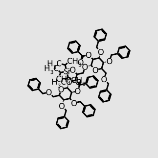 CC(C)[Si](OC(CO[C@H]1OC(COCc2ccccc2)[C@@H](OCc2ccccc2)[C@@H](OCc2ccccc2)C1OC(=O)c1ccccc1)CO[C@H]1OC(COCc2ccccc2)[C@@H](OCc2ccccc2)C(OCc2ccccc2)[C@@H]1OC(=O)c1ccccc1)(C(C)C)C(C)C